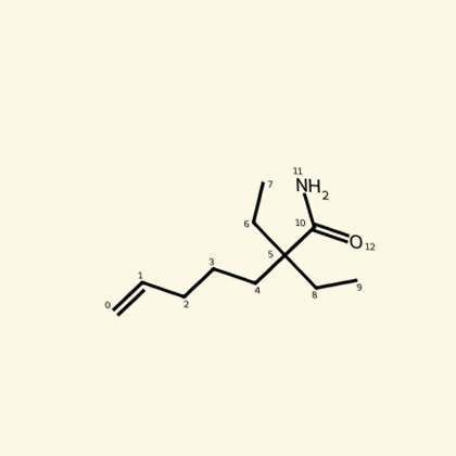 C=CCCCC(CC)(CC)C(N)=O